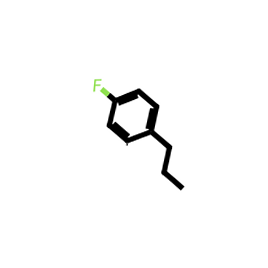 CCCc1[c]cc(F)cc1